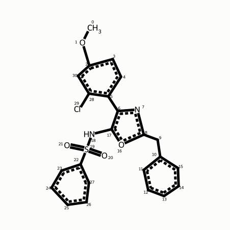 COc1ccc(-c2nc(Cc3ccccc3)oc2NS(=O)(=O)c2ccccc2)c(Cl)c1